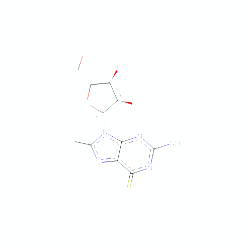 Cc1nc2c(=S)[nH]c(N)nc2n1[C@@H]1O[C@H](CO)[C@@H](O)[C@H]1O